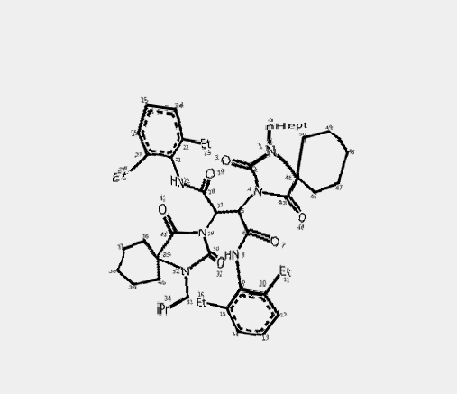 CCCCCCCN1C(=O)N(C(C(=O)Nc2c(CC)cccc2CC)C(C(=O)Nc2c(CC)cccc2CC)N2C(=O)N(CC(C)C)C3(CCCCC3)C2=O)C(=O)C12CCCCC2